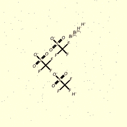 O=S(=O)([O-])C(F)(F)F.O=S(=O)([O-])C(F)(F)F.O=S(=O)([O-])C(F)(F)F.[Bi+3].[Bi+3].[H-].[H-].[H-]